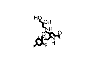 CC(=O)c1cc(C(=O)NCC(O)CO)c(CNc2ccc(I)cc2F)[nH]1